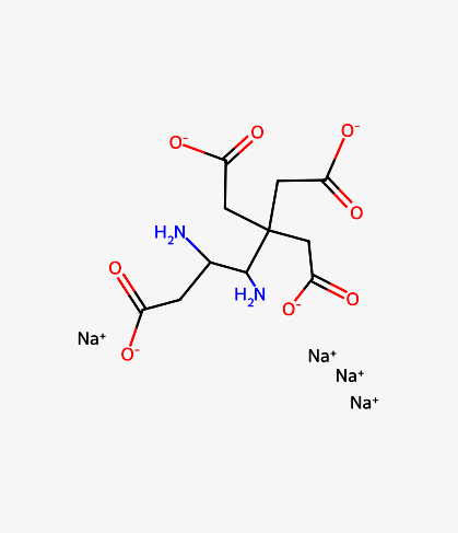 NC(CC(=O)[O-])C(N)C(CC(=O)[O-])(CC(=O)[O-])CC(=O)[O-].[Na+].[Na+].[Na+].[Na+]